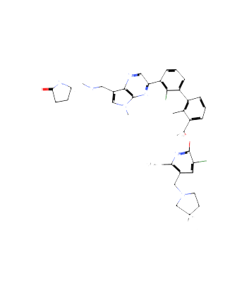 CC[C@H](Oc1nc(OC)c(CN2CC[C@@H](C(=O)O)C2)cc1Cl)c1cccc(-c2cccc(-c3cnc4c(CNC[C@@H]5CCC(=O)N5)cn(C)c4n3)c2Cl)c1C